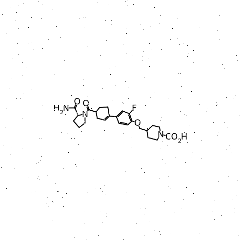 NC(=O)[C@@H]1CCCN1C(=O)C1CC=C(c2ccc(OCC3CCN(C(=O)O)CC3)c(F)c2)CC1